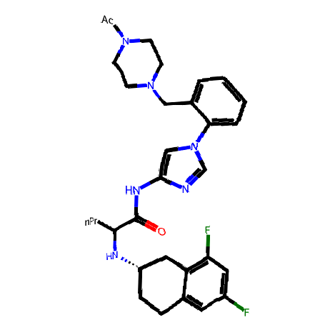 CCCC(N[C@H]1CCc2cc(F)cc(F)c2C1)C(=O)Nc1cn(-c2ccccc2CN2CCN(C(C)=O)CC2)cn1